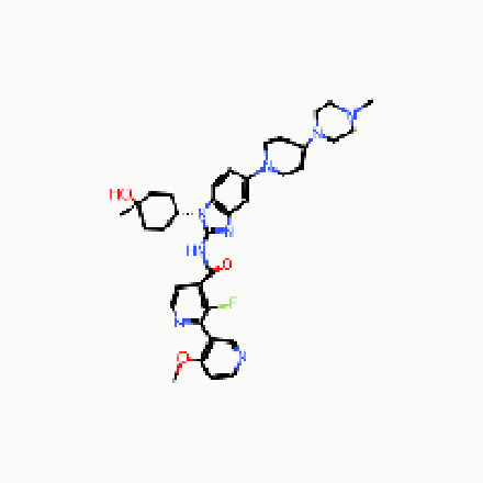 COc1ccncc1-c1nccc(C(=O)Nc2nc3cc(N4CCC(N5CCN(C)CC5)CC4)ccc3n2[C@H]2CC[C@@](C)(O)CC2)c1F